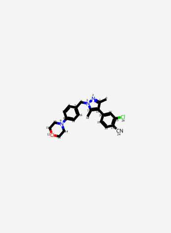 Cc1nn(Cc2ccc(N3CCOCC3)cc2)c(C)c1-c1ccc(C#N)c(Cl)c1